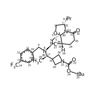 CC(C)[C@H]1CO[C@]23CC[C@H](N(Cc4ccc(C(F)(F)F)cc4)[C@H](C)C4CN(C(=O)OC(C)(C)C)C4)C[C@H]2CCC(=O)N13